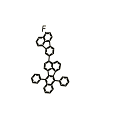 Fc1ccc2c3c(cccc13)-c1cc(-c3ccc4c5c(cccc35)-c3c-4c(-c4ccccc4)c4ccccc4c3-c3ccccc3)ccc1-2